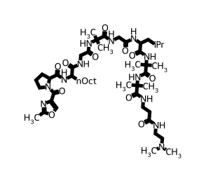 CCCCCCCCC(NC(=O)C1CCCN1C(=O)c1coc(C)n1)C(=O)NCC(=O)NC(C)(C)C(=O)NCC(=O)NC(CC(C)C)C(=O)NC(C)(C)C(=O)NC(C)(C)C(=O)NCCC(=O)NCCN(C)C